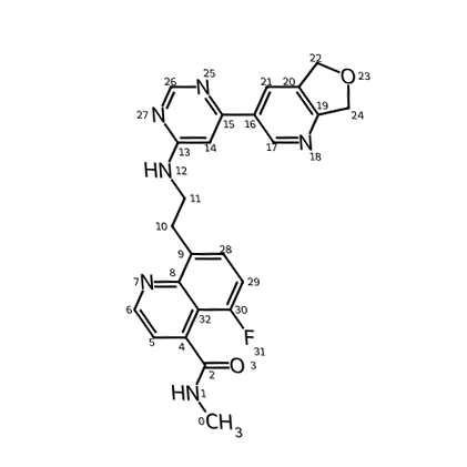 CNC(=O)c1ccnc2c(CCNc3cc(-c4cnc5c(c4)COC5)ncn3)ccc(F)c12